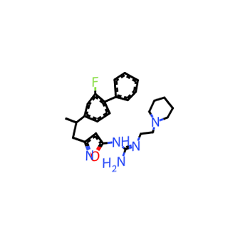 CC(Cc1cc(NC(N)=NCCN2CCCCC2)on1)c1ccc(-c2ccccc2)c(F)c1